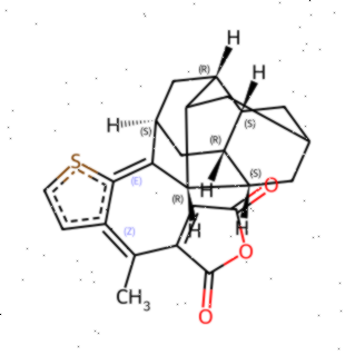 C/C(C1=CC(=O)OC1=O)=c1\ccs\c1=C1/[C@@H]2C[C@@H]3[C@H]4CC5CC([C@@H]1[C@H]3C5)[C@@H]4C2